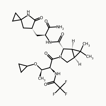 C[C@@H](OC1CC1)[C@H](NC(=O)C(F)(F)F)C(=O)N1C[C@H]2[C@@H]([C@H]1C(=O)N[C@@H](C[C@@H]1CC3(CC3)NC1=O)C(N)=O)C2(C)C